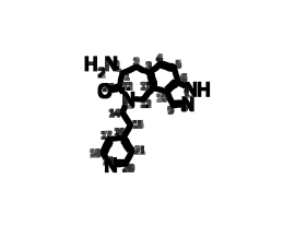 N[C@@H]1Cc2ccc3[nH]ncc3c2CN(CCc2ccncc2)C1=O